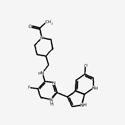 CC(=O)N1CCC(CNC2=C(F)CNC(C3=CNC4NC=C(Cl)C=C34)=N2)CC1